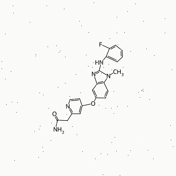 Cn1c(Nc2ccccc2F)nc2cc(Oc3ccnc(CC(N)=O)c3)ccc21